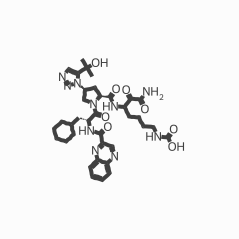 CC(C)(O)c1cnnn1[C@H]1C[C@@H](C(=O)NC(CCCCNC(=O)O)C(=O)C(N)=O)N(C(=O)[C@@H](CC2CCCCC2)NC(=O)c2cnc3ccccc3n2)C1